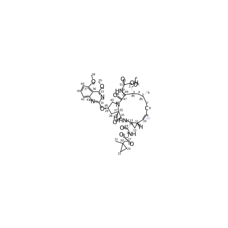 COC[C@@H]1C[C@H](C)CC/C=C\[C@@H]2C[C@@]2(C(=O)NS(=O)(=O)C2(C)CC2)NC(=O)[C@@H]2C[C@@H](Oc3nc(OC)c4c(OC)cccc4n3)CN2C(=O)[C@H]1NC(=O)O